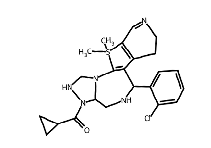 CS1(C)C2=C(CCN=C2)C2=C1N1CNN(C(=O)C3CC3)C1CNC2c1ccccc1Cl